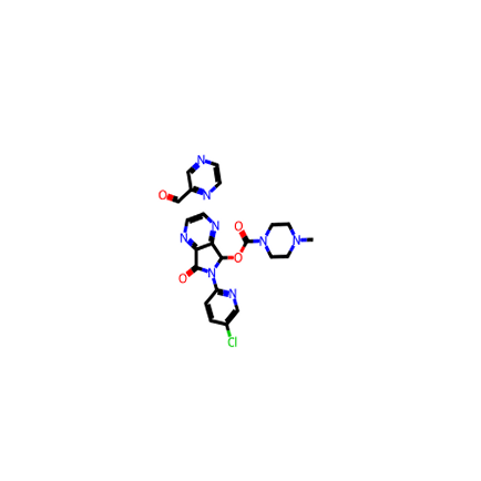 CN1CCN(C(=O)OC2c3nccnc3C(=O)N2c2ccc(Cl)cn2)CC1.O=Cc1cnccn1